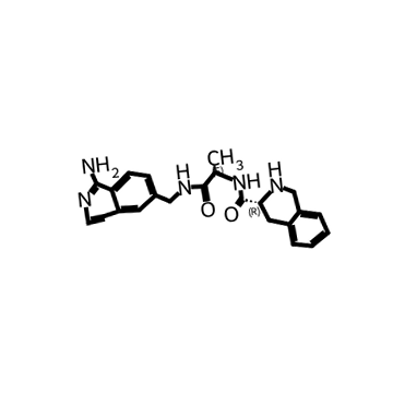 C[C@H](NC(=O)[C@H]1Cc2ccccc2CN1)C(=O)NCc1ccc2c(N)nccc2c1